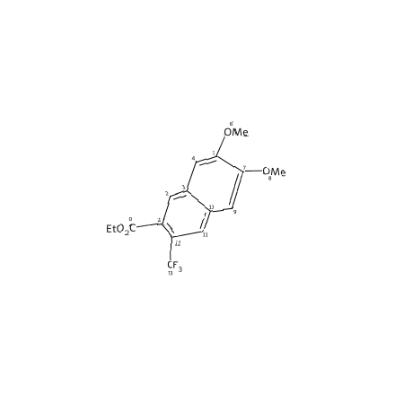 CCOC(=O)c1cc2cc(OC)c(OC)cc2cc1C(F)(F)F